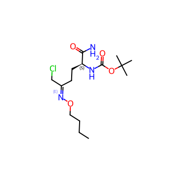 CCCCO/N=C(/CCl)CC[C@H](NC(=O)OC(C)(C)C)C(N)=O